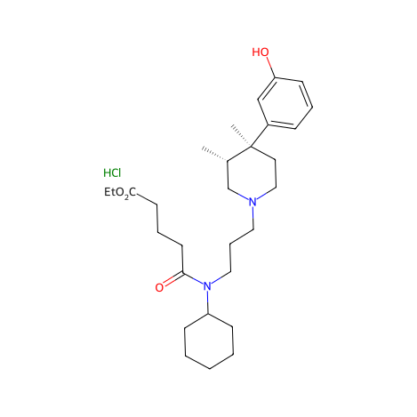 CCOC(=O)CCCC(=O)N(CCCN1CC[C@](C)(c2cccc(O)c2)[C@@H](C)C1)C1CCCCC1.Cl